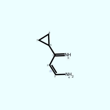 N=C(/C=C\N)C1CC1